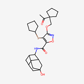 CC(=O)C1(COc2noc(C(=O)NC3C4CC5CC3CC(O)(C5)C4)c2SC2CCCC2)CCCC1